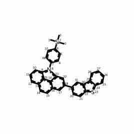 C[Si](C)(C)c1ccc(-n2c3cccc4ccc5cc(-c6ccc7sc8ccccc8c7c6)cc2c5c43)cc1